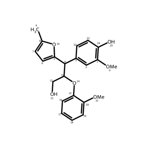 COc1cc(C(c2ccc(C)o2)C(CO)Oc2ccccc2OC)ccc1O